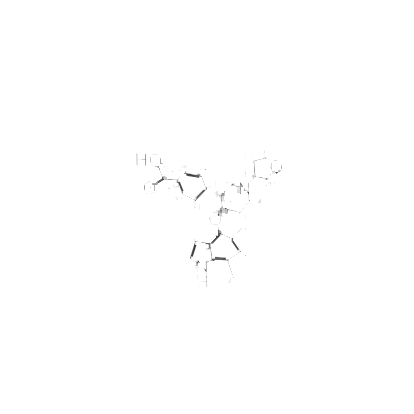 Cc1cc(C)c2[nH]ccc2c1O[C@@H]1CCN(C2CCOC2)C[C@H]1c1ccc(C(=O)O)cc1